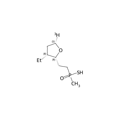 [3H][C@H]1C[C@@H](CC)[C@@H](CCP(C)(=O)S)O1